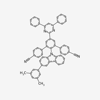 Cc1cc(C)cc(-c2ccc3c(c2)c2ccccc2n3-c2c(-c3ccc(C#N)cc3)cc(-c3nc(-c4ccccc4)cc(-c4ccccc4)n3)cc2-c2ccc(C#N)cc2)c1